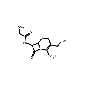 CSCC(=O)NC1C(=O)N2C(C(=O)O)=C(CSC)CSC12